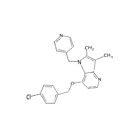 Cc1c(C)n(Cc2ccncc2)c2c(OCc3ccc(Cl)cc3)ccnc12